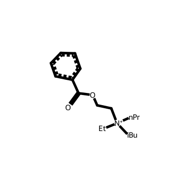 CCC[N+](CC)(CCOC(=O)c1ccccc1)C(C)CC